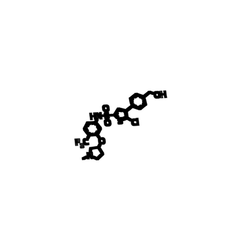 CN1CCC(Oc2cc(NS(=O)(=O)c3cc(-c4ccc(CO)cc4)c(Cl)s3)ccc2C(F)(F)F)C1